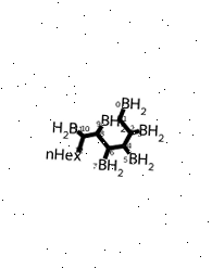 BCC(B)C(B)C(B)C(B)C(B)CCCCCC